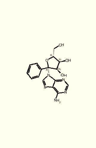 Nc1ncnc2c1ncn2[C@]1(c2ccccc2)O[C@H](CO)[C@@H](O)[C@H]1O